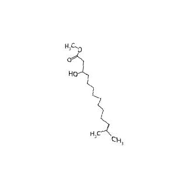 COC(=O)CC(O)CCCCCCCCCC(C)C